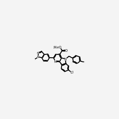 COC(=O)c1cc(-c2ccc3c(cnn3C)c2)nc2c3ccc(Cl)cc3n(Cc3ccc(C)cc3)c12